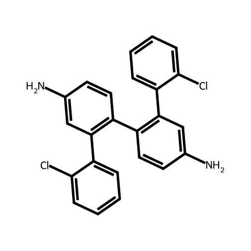 Nc1ccc(-c2ccc(N)cc2-c2ccccc2Cl)c(-c2ccccc2Cl)c1